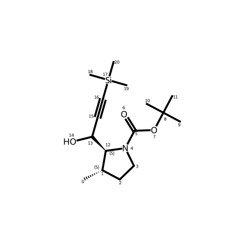 C[C@H]1CCN(C(=O)OC(C)(C)C)[C@@H]1C(O)C#C[Si](C)(C)C